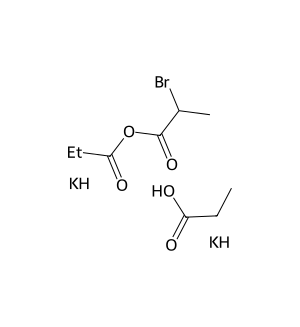 CCC(=O)O.CCC(=O)OC(=O)C(C)Br.[KH].[KH]